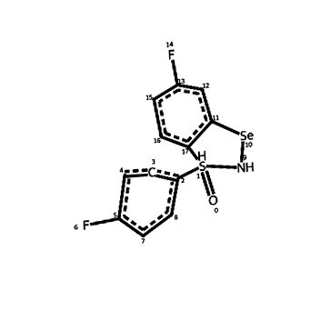 O=[SH]1(c2ccc(F)cc2)N[Se]c2cc(F)ccc21